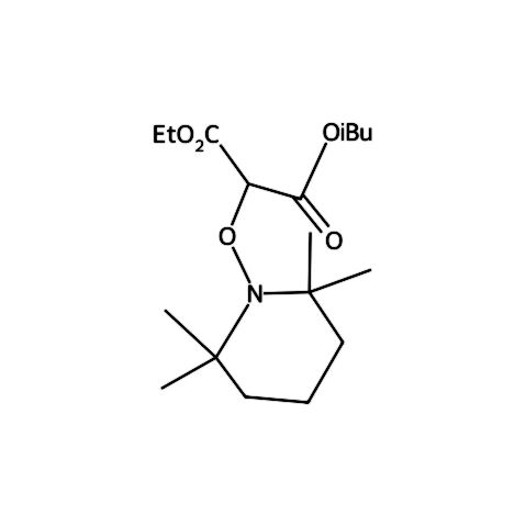 CCOC(=O)C(ON1C(C)(C)CCCC1(C)C)C(=O)OCC(C)C